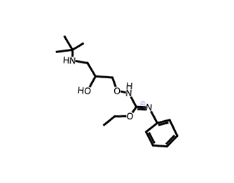 CCO/C(=N\c1ccccc1)NOCC(O)CNC(C)(C)C